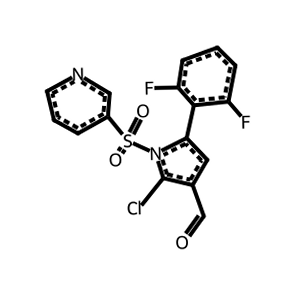 O=Cc1cc(-c2c(F)cccc2F)n(S(=O)(=O)c2cccnc2)c1Cl